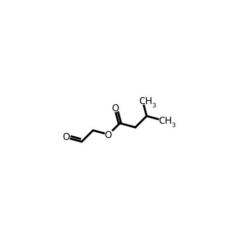 CC(C)CC(=O)OCC=O